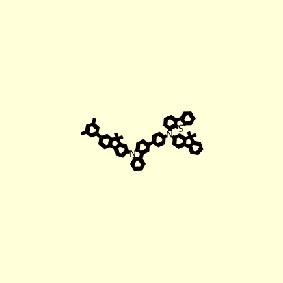 Cc1cc(C)cc(-c2ccc3c(c2)C(C)(C)c2cc(-n4c5ccccc5c5cc(-c6ccc(N(c7ccc8c(c7)C(C)(C)c7ccccc7-8)c7cccc8c7sc7ccccc78)cc6)ccc54)ccc2-3)c1